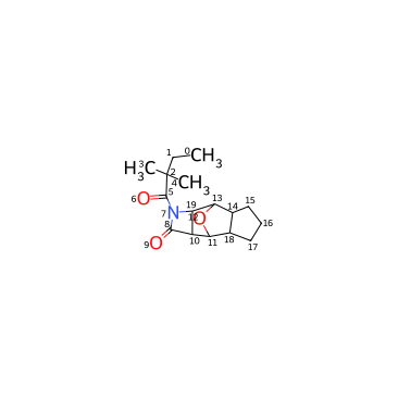 CCC(C)(C)C(=O)N1C(=O)C2C3OC(C4CCCC43)C21